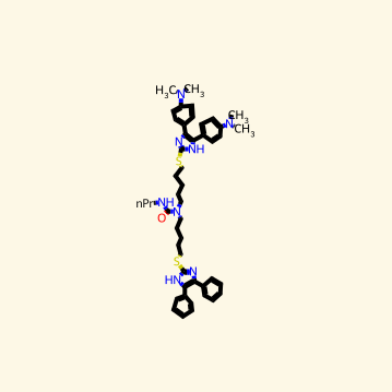 CCCNC(=O)N(CCCCCSc1nc(-c2ccccc2)c(-c2ccccc2)[nH]1)CCCCCSc1nc(-c2ccc(N(C)C)cc2)c(-c2ccc(N(C)C)cc2)[nH]1